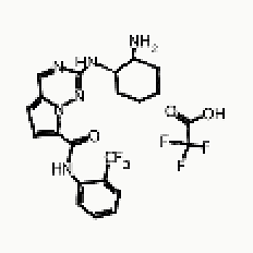 N[C@H]1CCCC[C@H]1Nc1ncc2ccc(C(=O)Nc3ccccc3C(F)(F)F)n2n1.O=C(O)C(F)(F)F